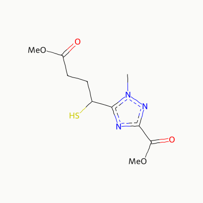 COC(=O)CCC(S)c1nc(C(=O)OC)nn1C